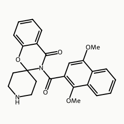 COc1cc(C(=O)N2C(=O)c3ccccc3OC23CCNCC3)c(OC)c2ccccc12